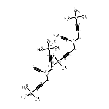 C[Si](C)(C)C#C[CH2][Cu-]([C]#N)[CH2]C#C[Si](C)(C)C.C[Si](C)(C)C#C[CH2][Cu-]([C]#N)[CH2]C#C[Si](C)(C)C.[Li+].[Li+]